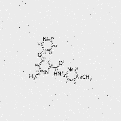 Cc1ccc(NC(=O)c2cc(Oc3cccnc3)cc(C)n2)nc1